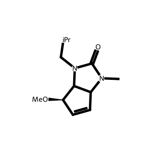 CO[C@@H]1C=CC2C1N(CC(C)C)C(=O)N2C